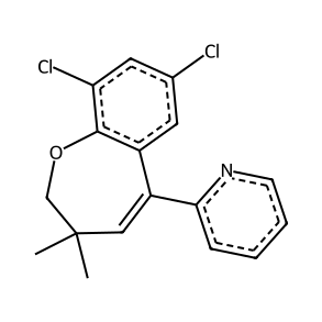 CC1(C)C=C(c2ccccn2)c2cc(Cl)cc(Cl)c2OC1